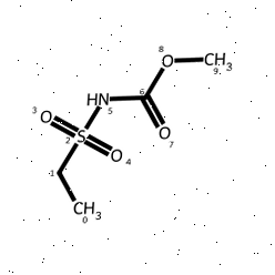 CCS(=O)(=O)NC(=O)OC